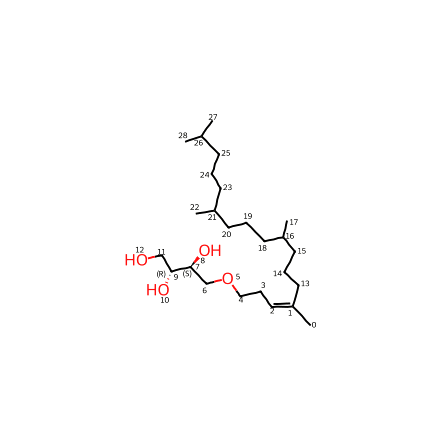 CC(=CCCOC[C@H](O)[C@H](O)CO)CCCC(C)CCCC(C)CCCC(C)C